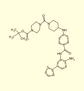 CC(C)(C)OC(=O)N1CCN(C(=O)N2CCC(Nc3ccc(C(=O)Nc4cc(-c5cccs5)ccc4N)cc3)CC2)CC1